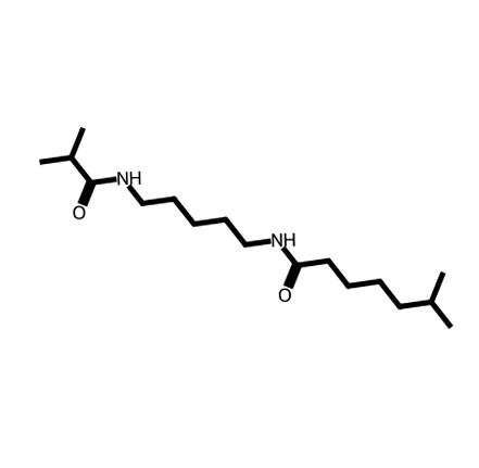 CC(C)CCCCC(=O)NCCCCCNC(=O)C(C)C